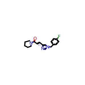 O=C(/C=C/c1cn(Cc2ccc(F)cc2)cn1)N1CCCCC1